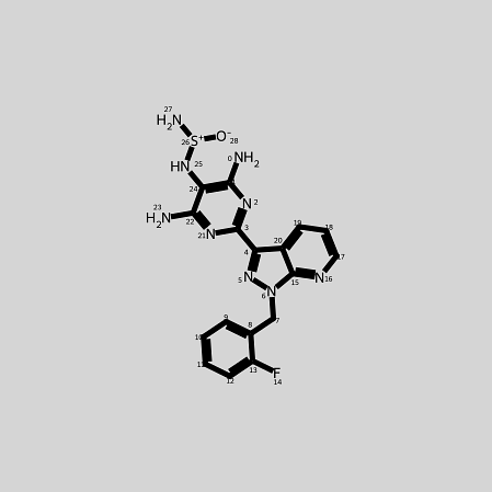 Nc1nc(-c2nn(Cc3ccccc3F)c3ncccc23)nc(N)c1N[S+](N)[O-]